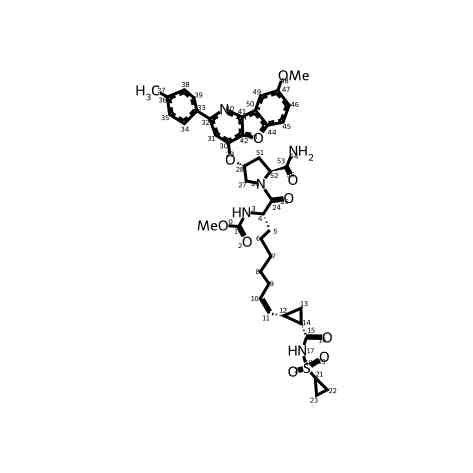 COC(=O)N[C@@H](CCCCC/C=C\[C@@H]1C[C@@H]1C(=O)NS(=O)(=O)C1CC1)C(=O)N1C[C@H](Oc2cc(-c3ccc(C)cc3)nc3c2oc2ccc(OC)cc23)C[C@H]1C(N)=O